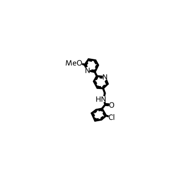 COc1cccc(-c2ccc(CNC(=O)c3ccccc3Cl)cn2)n1